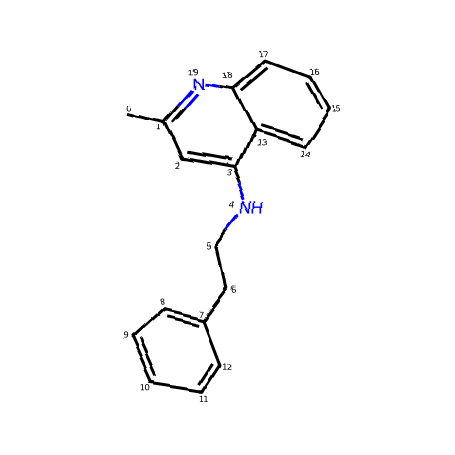 Cc1cc(NCCc2ccccc2)c2ccccc2n1